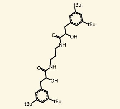 CC(C)(C)c1cc(CC(O)C(=O)NCCCNC(=O)C(O)Cc2cc(C(C)(C)C)cc(C(C)(C)C)c2)cc(C(C)(C)C)c1